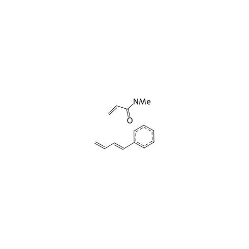 C=CC(=O)NC.C=CC=Cc1ccccc1